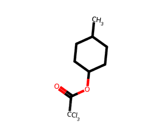 CC1CCC(OC(=O)C(Cl)(Cl)Cl)CC1